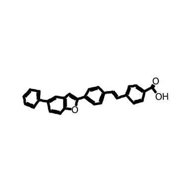 O=C(O)c1ccc(/C=C/c2ccc(-c3cc4cc(-c5ccccc5)ccc4o3)cc2)cc1